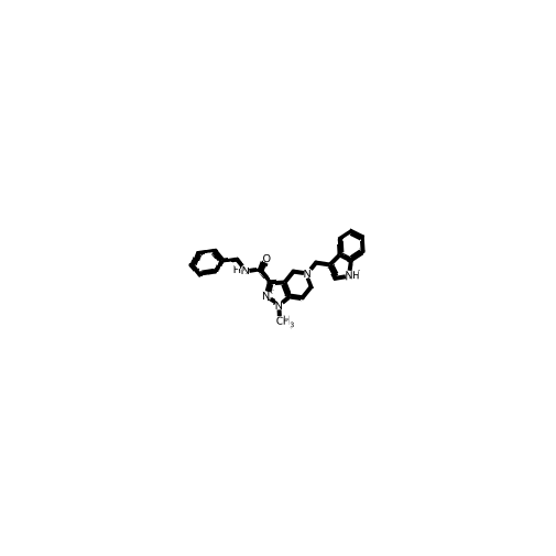 Cn1nc(C(=O)NCc2ccccc2)c2c1CCN(Cc1c[nH]c3ccccc13)C2